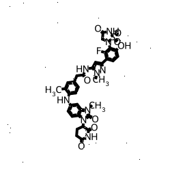 Cc1cc(CC(=O)Nc2cc(-c3ccc(O)c(N4CC(=O)NS4(=O)=O)c3F)nn2C)ccc1Nc1ccc2c(c1)n(C)c(=O)n2C1CCC(=O)NC1=O